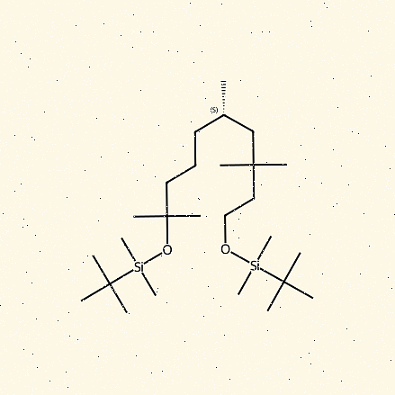 C[C@@H](CCCC(C)(C)O[Si](C)(C)C(C)(C)C)CC(C)(C)CCO[Si](C)(C)C(C)(C)C